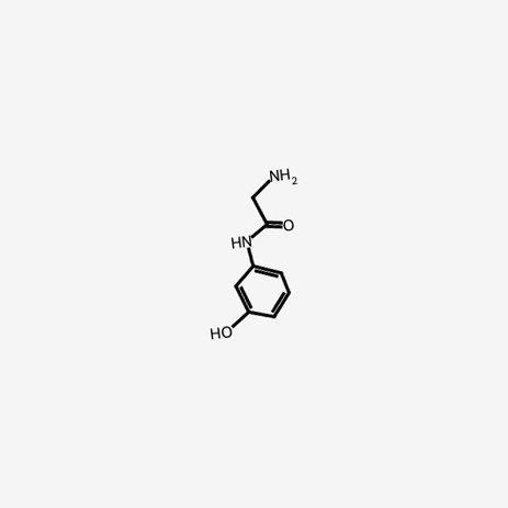 NCC(=O)Nc1cccc(O)c1